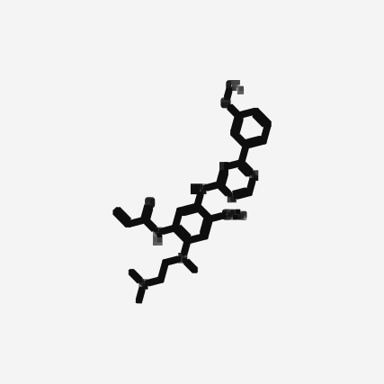 C=CC(=O)Nc1cc(Nc2ncnc(-c3cccc(OC(F)(F)F)c3)n2)c(OC)cc1N(C)CCN(C)C